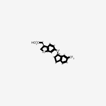 O=C(O)C[C@@H]1COc2cc(O[C@@H]3CCc4ccc(C(F)(F)F)cc43)ccc21